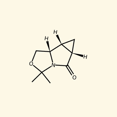 CC1(C)OC[C@@H]2[C@@H]3C[C@@H]3C(=O)N21